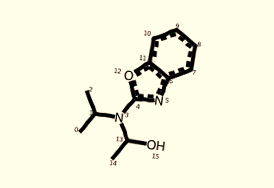 CC(C)N(c1nc2ccccc2o1)C(C)O